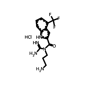 Cl.N=C(N)N(CCCN)C(=O)c1cc2c(C(F)(F)F)cccc2[nH]1